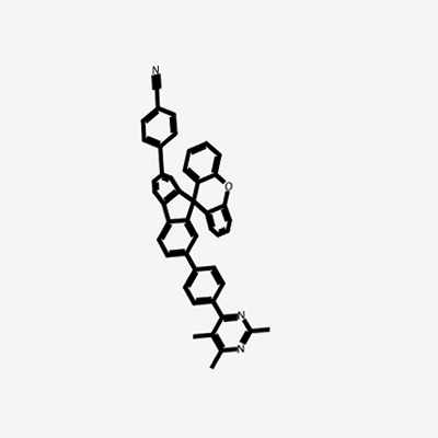 Cc1nc(C)c(C)c(-c2ccc(-c3ccc4c(c3)C3(c5ccccc5Oc5ccccc53)c3cc(-c5ccc(C#N)cc5)ccc3-4)cc2)n1